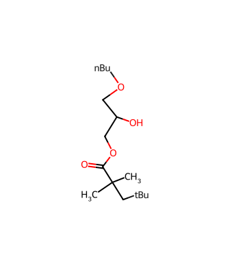 CCCCOCC(O)COC(=O)C(C)(C)CC(C)(C)C